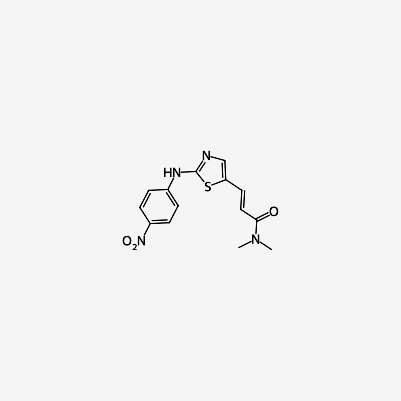 CN(C)C(=O)C=Cc1cnc(Nc2ccc([N+](=O)[O-])cc2)s1